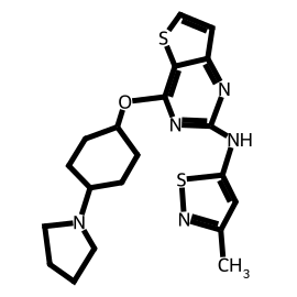 Cc1cc(Nc2nc(OC3CCC(N4CCCC4)CC3)c3sccc3n2)sn1